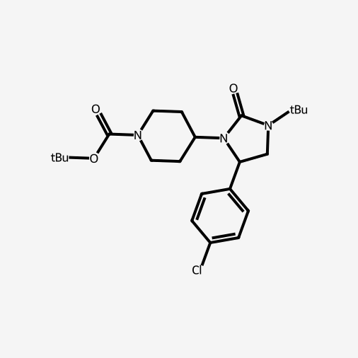 CC(C)(C)OC(=O)N1CCC(N2C(=O)N(C(C)(C)C)CC2c2ccc(Cl)cc2)CC1